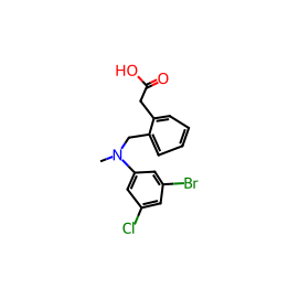 CN(Cc1ccccc1CC(=O)O)c1cc(Cl)cc(Br)c1